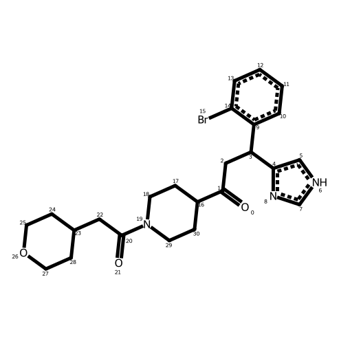 O=C(CC(c1c[nH]cn1)c1ccccc1Br)C1CCN(C(=O)CC2CCOCC2)CC1